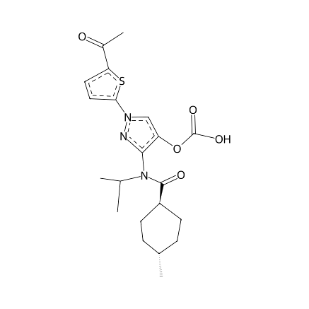 CC(=O)c1ccc(-n2cc(OC(=O)O)c(N(C(=O)[C@H]3CC[C@H](C)CC3)C(C)C)n2)s1